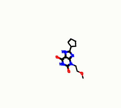 COCCn1c(=O)[nH]c(=O)c2[nH]c(C3CCCC3)nc21